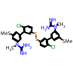 CSc1cc(-c2cc(SSc3ccc(Cl)c(-c4cc(SC)cc(N(C)C(=N)N)c4)c3)ccc2Cl)cc(N(C)C(=N)N)c1